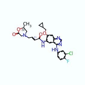 C[C@H]1CN(C/C=C/C(=O)Nc2cc3c(Nc4ccc(F)c(Cl)c4)ncnc3cc2OCC2CC2)CC(=O)O1